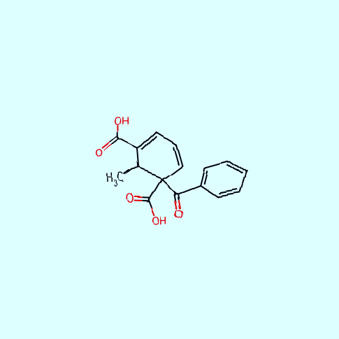 CC1C(C(=O)O)=CC=CC1(C(=O)O)C(=O)c1ccccc1